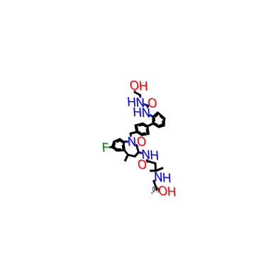 CC1CC(NC(=O)CC(C)(C)NC[C@@H](C)O)C(=O)N(Cc2ccc(-c3ccccc3NC(=O)NCCO)cc2)c2ccc(F)cc21